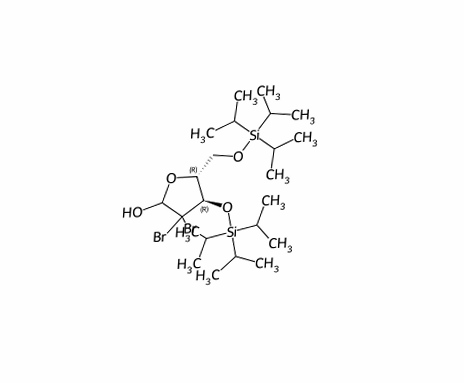 CC(C)[Si](OC[C@H]1OC(O)C(Br)(Br)[C@@H]1O[Si](C(C)C)(C(C)C)C(C)C)(C(C)C)C(C)C